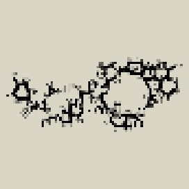 CCn1c(-c2cccnc2[C@H](C)OC)c2c3cc(ccc31)N1CCO[C@@H](C[C@H](NC(=O)[C@H](C(C)C)N3CC[C@]4(CCN(C(=O)[C@H]5[C@@H](C6CC6)N5[S@+]([O-])c5ccc(C)cc5)C4)C3)C(=O)N3CCC[C@H](N3)C(=O)OCC(C)(C)C2)C1